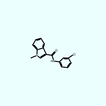 Cn1cc(C(=O)Nc2cccc(Cl)c2)c2ccccc21